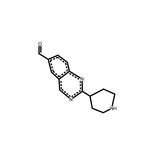 O=Cc1ccc2nc(C3CCNCC3)ncc2c1